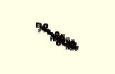 CCN(C)C(=O)/C=C/CCCC(=O)Nc1cncn(Cc2nc3cc(F)ccc3n2C)c1=O